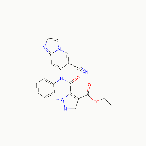 CCOC(=O)c1cnn(C)c1C(=O)N(c1ccccc1)c1cc2nccn2cc1C#N